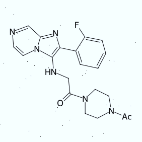 CC(=O)N1CCN(C(=O)CNc2c(-c3ccccc3F)nc3cnccn23)CC1